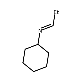 CCC=NC1CCCCC1